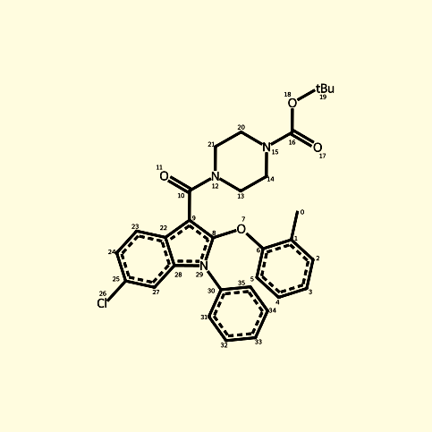 Cc1ccccc1Oc1c(C(=O)N2CCN(C(=O)OC(C)(C)C)CC2)c2ccc(Cl)cc2n1-c1ccccc1